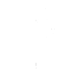 Cc1cc(I)cc2c1OC(C)(C)O2